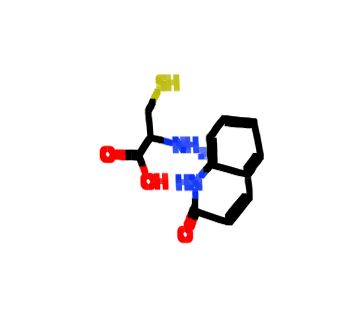 NC(CS)C(=O)O.O=c1ccc2ccccc2[nH]1